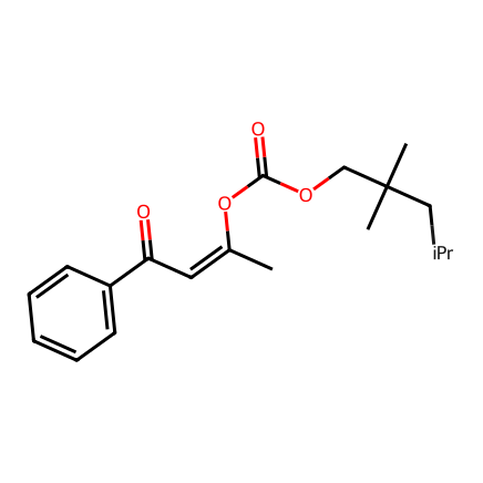 CC(=CC(=O)c1ccccc1)OC(=O)OCC(C)(C)CC(C)C